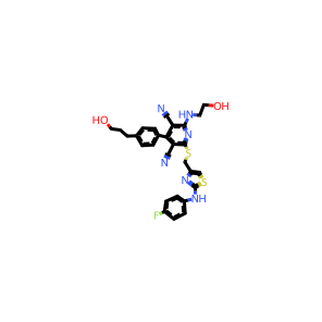 N#Cc1c(NCCO)nc(SCc2csc(Nc3ccc(F)cc3)n2)c(C#N)c1-c1ccc(CCCO)cc1